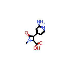 CN1C(=O)C(c2ccnc(N)c2)C1C(=O)O